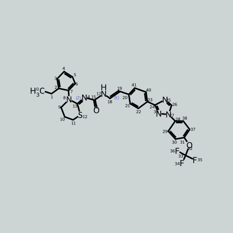 CCc1ccccc1N1CCCS/C1=N\C(=O)N/C=C/c1ccc(-c2ncn(-c3ccc(OC(F)(F)F)cc3)n2)cc1